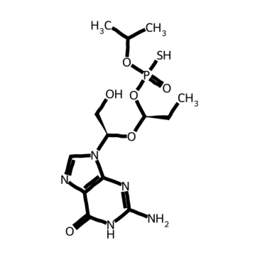 CC[C@@H](O[C@H](CO)n1cnc2c(=O)[nH]c(N)nc21)OP(=O)(S)OC(C)C